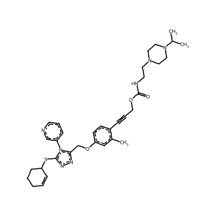 Cc1cc(OCc2nnc(SC3C=CCCC3)n2-c2cccnc2)ccc1C#CCOC(=O)NCCN1CCN(C(C)C)CC1